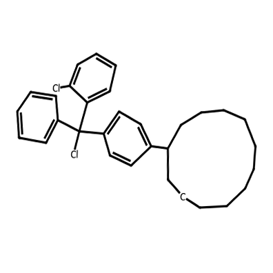 Clc1ccccc1C(Cl)(c1ccccc1)c1ccc(C2CCCCCCCCCCC2)cc1